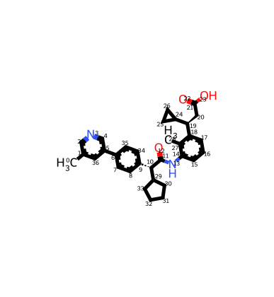 Cc1cncc(-c2ccc([C@H](C(=O)Nc3cccc([C@H](CC(=O)O)C4CC4)c3C)C3CCCC3)cc2)c1